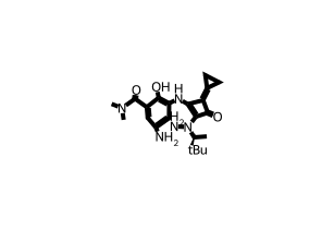 C[C@H](N(N)C1=C(Nc2cc(N)cc(C(=O)N(C)C)c2O)C(=C2CC2)C1=O)C(C)(C)C